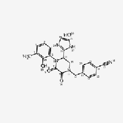 Cc1cccc(N2C(=O)C(=O)N(Cc3ccc(C#N)cc3)CC2c2ncc[nH]2)c1C.Cl